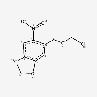 O=[N+]([O-])c1cc2c(cc1COCCl)OCO2